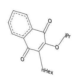 CCCCCCC1=C(OC(C)C)C(=O)c2ccccc2C1=O